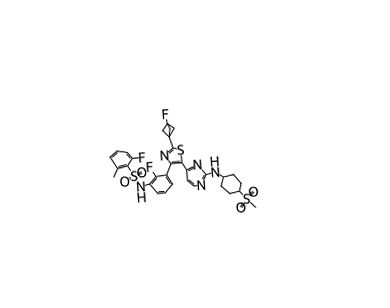 Cc1cccc(F)c1S(=O)(=O)Nc1cccc(-c2nc(C34CC(F)(C3)C4)sc2-c2ccnc(NC3CCC(S(C)(=O)=O)CC3)n2)c1F